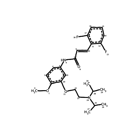 COc1ccc(NC(=O)C=Cc2c(F)cccc2F)cc1OCCN(C(C)C)C(C)C